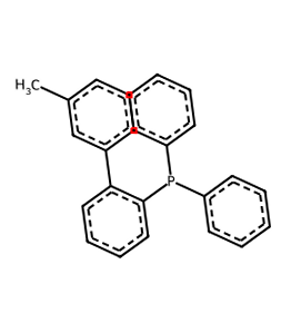 Cc1cccc(-c2ccccc2P(c2ccccc2)c2ccccc2)c1